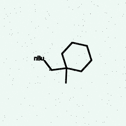 CCCC[CH]C1(C)CCCCC1